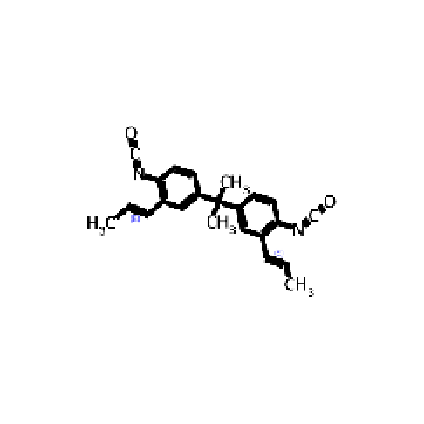 C/C=C/c1cc(C(C)(C)c2ccc(N=C=O)c(/C=C/C)c2)ccc1N=C=O